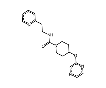 O=C(NCCc1ccccn1)N1CCC(Oc2cnccn2)CC1